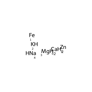 [CaH2].[Fe].[KH].[MgH2].[NaH].[Zn]